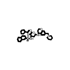 O=C(CC(NS(=O)(=O)c1ccc2ccccc2c1)C1=COC=C(C2=CC=CCC2)O1)NC1CCOc2cc(CN3CCCCC3)ccc21